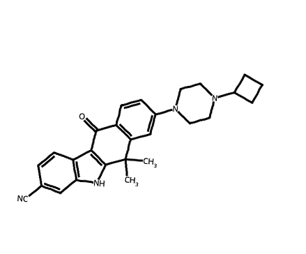 CC1(C)c2cc(N3CCN(C4CCC4)CC3)ccc2C(=O)c2c1[nH]c1cc(C#N)ccc21